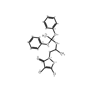 CC(Cn1sc(Cl)c(Cl)c1=O)OC(C)(Oc1ccccc1)Oc1ccccc1